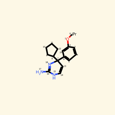 CC(C)Oc1cccc(C2(C3CCCC3)C=CNC(N)=N2)c1